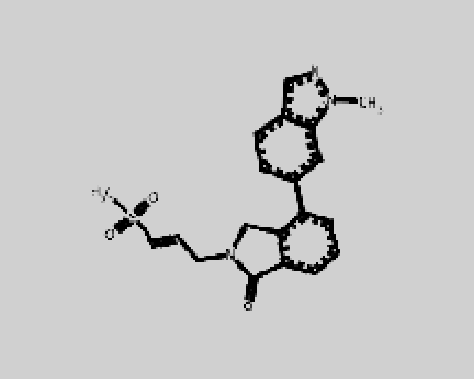 Cn1ncc2ccc(-c3cccc4c3CN(C/C=C/S(C)(=O)=O)C4=O)cc21